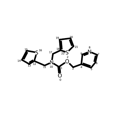 O=C(OCc1cccnc1)N(Cc1cccs1)Cc1cccs1